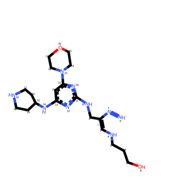 N=N/C(=C\NCCCO)CNc1nc(NC2CCNCC2)cc(N2CCOCC2)n1